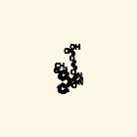 COc1ccc(-c2c(-c3ccccc3)oc3ncnc(OCCCOCC(=O)O)c23)cc1